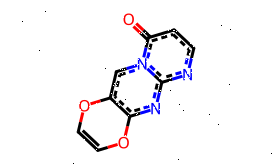 O=c1ccnc2nc3c(cn12)OC=CO3